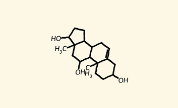 CC12CCC(O)CC1=CCC1C2C(O)CC2(C)C(O)CCC12